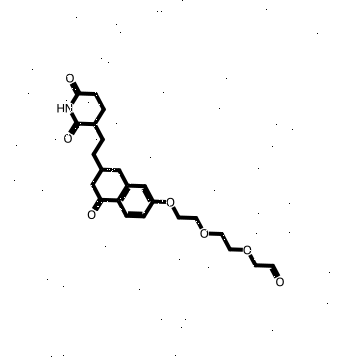 O=CCOCCOCCOc1ccc2c(c1)CC(CCC1CCC(=O)NC1=O)CC2=O